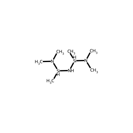 CN(C)[SiH](C)N[SiH](C)N(C)C